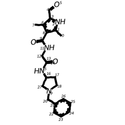 Cc1[nH]c(C=O)c(C)c1C(=O)NCC(=O)NC1CCN(Cc2ccccc2)C1